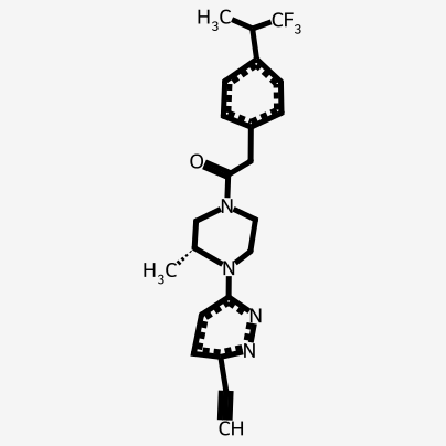 C#Cc1ccc(N2CCN(C(=O)Cc3ccc(C(C)C(F)(F)F)cc3)C[C@H]2C)nn1